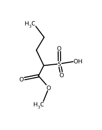 CCCC(C(=O)OC)S(=O)(=O)O